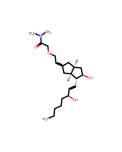 CCCCC[C@H](O)C=C[C@@H]1[C@H]2CC(=CCOCC(=O)N(C)C)C[C@H]2C[C@H]1O